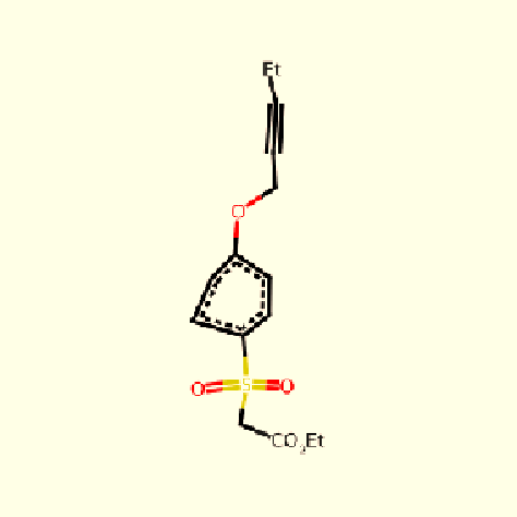 CCC#CCOc1ccc(S(=O)(=O)CC(=O)OCC)cc1